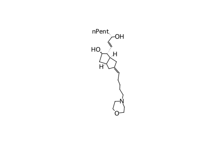 CCCCC[C@H](O)/C=C/[C@@H]1[C@H]2CC(=CCCCCN3CCOCC3)C[C@H]2C[C@H]1O